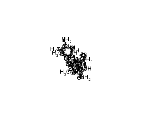 CC[C@@H](C)[C@@H](NC(=O)[C@@H](CCC(N)=O)NC(=O)[C@H](CO)NC(=O)[C@@H](NC(=O)[C@@H](Cc1ccccc1)NC)[C@@H](C)CC)C(=O)N[C@H](C(=O)N[C@@H](CO)C(=O)N[C@H]1C(=O)N[C@@H](C)C(=O)N[C@@H](CCCCN)C(=O)N[C@@H]([C@@H](C)CC)C(=O)O[C@H]1C)[C@@H](C)CC